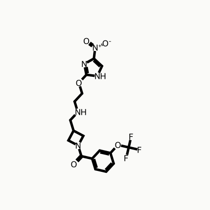 O=C(c1cccc(OC(F)(F)F)c1)N1CC(CNCCOc2nc([N+](=O)[O-])c[nH]2)C1